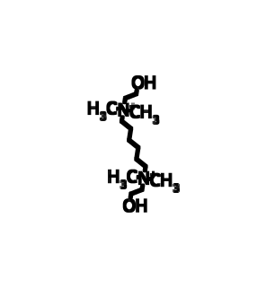 C[N+](C)(CCO)CCCCCC[N+](C)(C)CCO